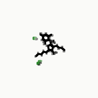 CCCCCC1=[C]([Ti+3])C(CCCC)=C([SiH2]c2c(C)cc(C)cc2C)C1.[Cl-].[Cl-].[Cl-]